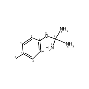 Cc1ccc(OC(N)(N)N)cc1